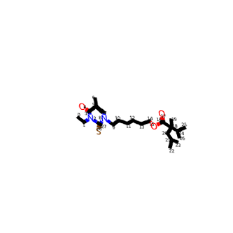 CCn1c(=O)c(C)cn(CCCCCCOC(=O)C(C)(CC(C)C)C(C)C)c1=S